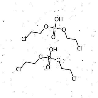 O=P(O)(OCCCl)OCCCl.O=P(O)(OCCCl)OCCCl